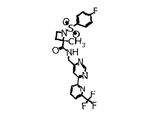 C[C@@]1(C(=O)NCc2cc(-c3cccc(C(F)(F)F)n3)ncn2)CCN1S(=O)(=O)c1ccc(F)cc1